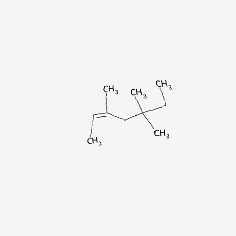 C/C=C(/C)CC(C)(C)CC